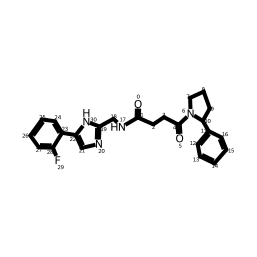 O=C(CCC(=O)N1CCCC1c1ccccc1)NCc1ncc(-c2ccccc2F)[nH]1